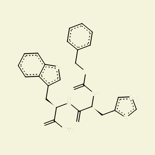 COC(=O)[C@@H](Cc1c[nH]c2ccccc12)NC(=O)[C@H](Cc1c[nH]cn1)NC(=O)OCc1ccccc1